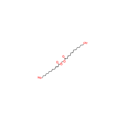 O=C(CCCCCCCCCCCO)OCOC(=O)CCCCCCCCCCCO